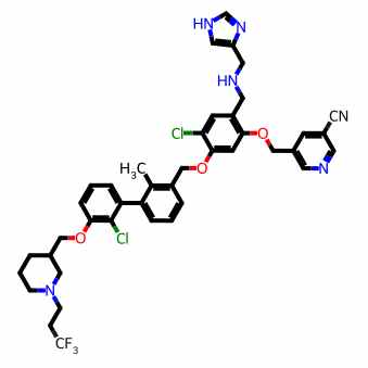 Cc1c(COc2cc(OCc3cncc(C#N)c3)c(CNCc3c[nH]cn3)cc2Cl)cccc1-c1cccc(OCC2CCCN(CCC(F)(F)F)C2)c1Cl